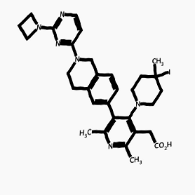 Cc1nc(C)c(-c2ccc3c(c2)CCN(c2ccnc(N4CCC4)n2)C3)c(N2CCC(C)(I)CC2)c1CC(=O)O